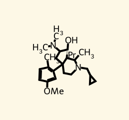 COc1ccc(C)c(C2(CC(CO)N(C)C)CCN(CC3CC3)C(C)C2C(C)C)c1